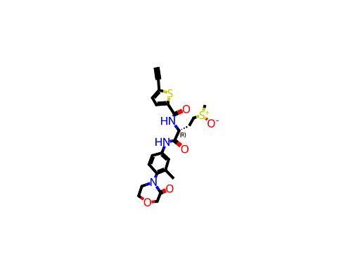 C#Cc1ccc(C(=O)N[C@H](CC[S+](C)[O-])C(=O)Nc2ccc(N3CCOCC3=O)c(C)c2)s1